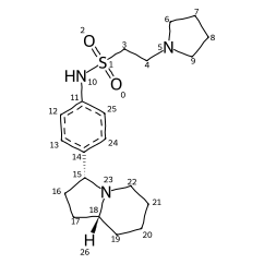 O=S(=O)(CCN1CCCC1)Nc1ccc([C@H]2CC[C@H]3CCCCN32)cc1